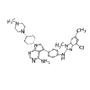 Cc1cc(Cl)c2nc(Nc3ccc(-c4cn([C@H]5CC[C@@H](N6CCN(C)CC6)CC5)c5ncnc(N)c45)cc3)n(C)c2c1